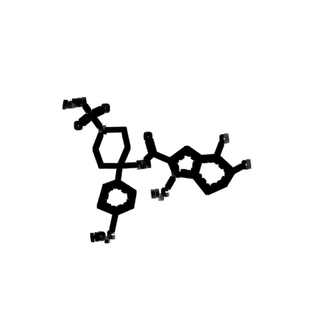 CC(=O)NS(=O)(=O)N1CCC(NC(=O)c2cc3c(Cl)c(Cl)ccc3n2C)(c2ccc(C(=O)O)cc2)CC1